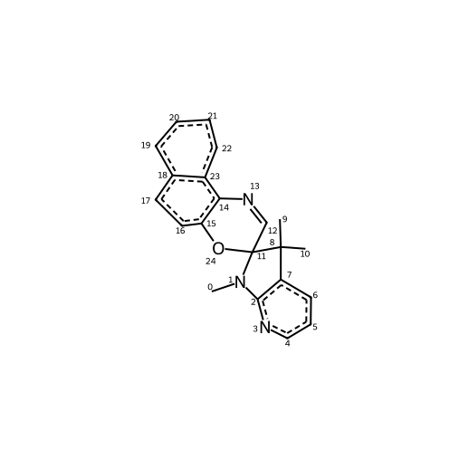 CN1c2ncccc2C(C)(C)C12C=Nc1c(ccc3ccccc13)O2